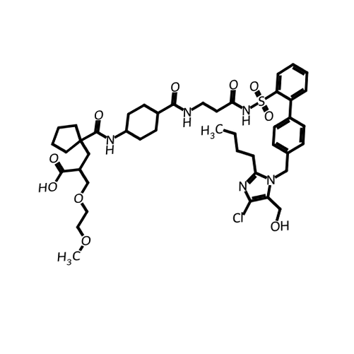 CCCCc1nc(Cl)c(CO)n1Cc1ccc(-c2ccccc2S(=O)(=O)NC(=O)CCNC(=O)C2CCC(NC(=O)C3(CC(COCCOC)C(=O)O)CCCC3)CC2)cc1